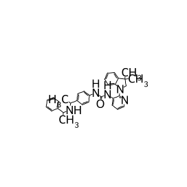 CC(NC(C)c1ccc(NC(=O)Nc2cccnc2N2CC(C)(C)c3ccccc32)cc1)c1ccccc1